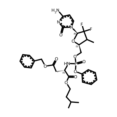 CC(C)CCOC(=O)[C@H](CC(=O)OCc1ccccc1)NP(=O)(OC[C@H]1O[C@@H](n2ccc(N)nc2=O)C(F)(F)C1C)Oc1ccccc1